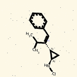 CC(C)/C(=C\c1ccccc1)[C@@H]1C[C@H]1NCl